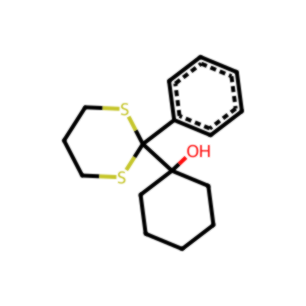 OC1(C2(c3ccccc3)SCCCS2)CCCCC1